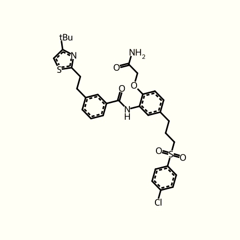 CC(C)(C)c1csc(CCc2cccc(C(=O)Nc3cc(CCCS(=O)(=O)c4ccc(Cl)cc4)ccc3OCC(N)=O)c2)n1